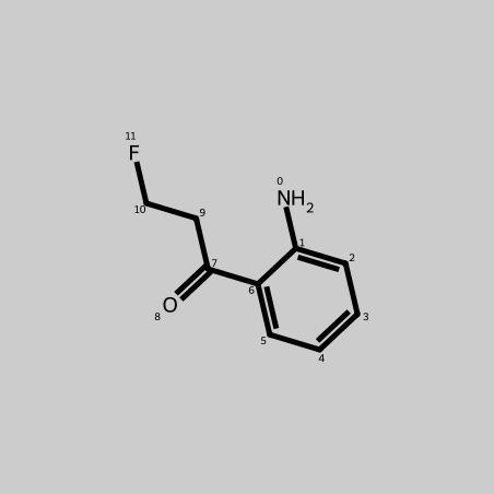 Nc1ccccc1C(=O)CCF